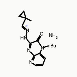 CCCCn1c(=O)c(N/N=C/C2(C)CC2)nc2ncccc21.N